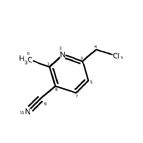 Cc1nc(CCl)ccc1C#N